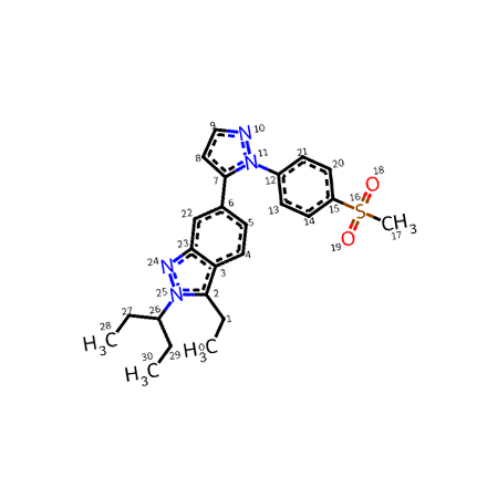 CCc1c2ccc(-c3ccnn3-c3ccc(S(C)(=O)=O)cc3)cc2nn1C(CC)CC